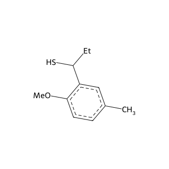 CCC(S)c1cc(C)ccc1OC